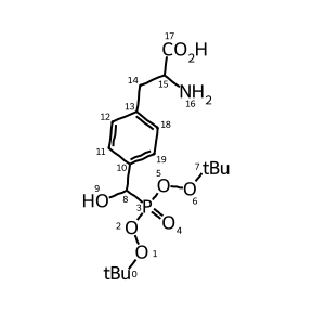 CC(C)(C)OOP(=O)(OOC(C)(C)C)C(O)c1ccc(CC(N)C(=O)O)cc1